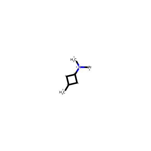 CC1CC(N(C)C(C)C)C1